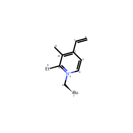 C=Cc1cc[n+](C[C@H](C)CC)c(CC)c1C